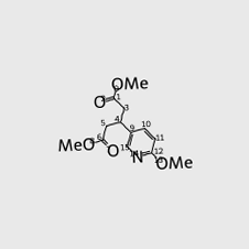 COC(=O)CC(CC(=O)OC)c1ccc(OC)nc1